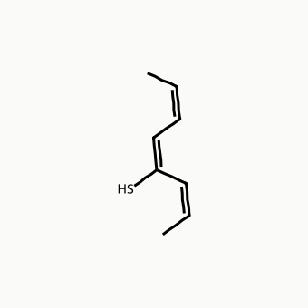 C\C=C/C=C(S)\C=C/C